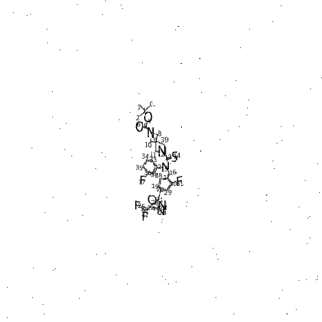 CC(C)(C)OC(=O)N1CC2(C1)CN(C(=S)N(Cc1ccc(-c3nnc(C(F)F)o3)cc1F)c1cccc(F)c1)C2